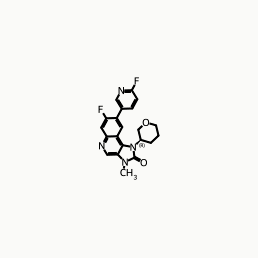 Cn1c(=O)n([C@@H]2CCCOC2)c2c3cc(-c4ccc(F)nc4)c(F)cc3ncc21